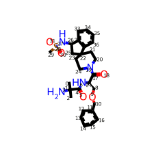 CC(C)(N)C(=O)N[C@H](COCc1ccccc1)C(=O)N1CCC2(CC1)CC(NS(C)(=O)=O)c1ccccc12